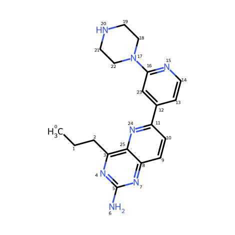 CCCc1nc(N)nc2ccc(-c3ccnc(N4CCNCC4)c3)nc12